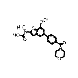 COc1cc(-c2ccc(C(=O)N3CCOCC3)cc2)cc2cc(N(C)C(=O)O)oc12